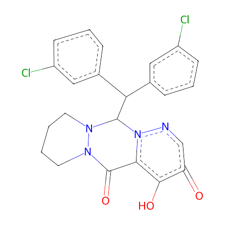 O=C1c2c(O)c(=O)cnn2C(C(c2cccc(Cl)c2)c2cccc(Cl)c2)N2CCCCN12